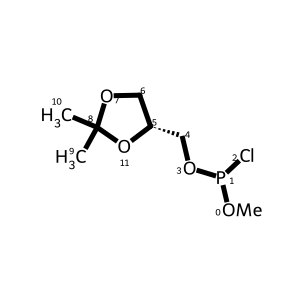 COP(Cl)OC[C@H]1COC(C)(C)O1